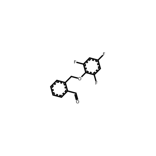 O=Cc1ccccc1COc1c(F)cc(F)cc1F